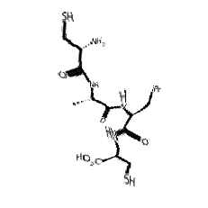 CC(C)C[C@H](NC(=O)[C@H](C)NC(=O)[C@@H](N)CS)C(=O)N[C@@H](CS)C(=O)O